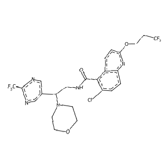 O=C(NCC(c1cnc(C(F)(F)F)nc1)N1CCOCC1)c1c(Cl)ccc2nc(OCCC(F)(F)F)ccc12